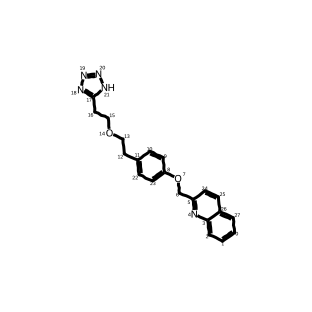 c1ccc2nc(COc3ccc(CCOCCc4nnn[nH]4)cc3)ccc2c1